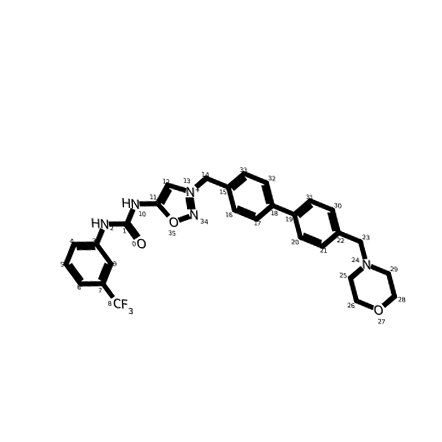 O=C(Nc1cccc(C(F)(F)F)c1)Nc1c[n+](Cc2ccc(-c3ccc(CN4CCOCC4)cc3)cc2)no1